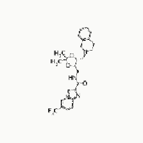 CC1(C)O[C@H](CNC(=O)c2cn3cc(C(F)(F)F)ccc3n2)[C@@H](CN2CCc3ccccc3C2)O1